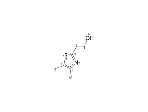 Cc1nc(CCO)sc1C